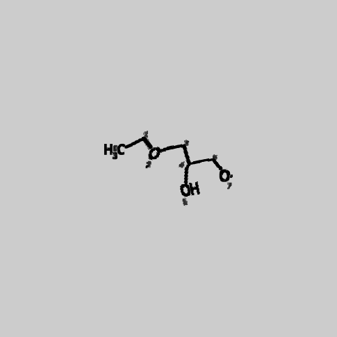 CCOCC(O)C[O]